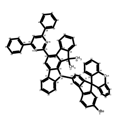 CC(C)(C)c1ccc2c(c1)C1(c3ccccc3Oc3ccccc31)c1ccc(-n3c4ccccc4c4cc(-c5nc(-c6ccccc6)cc(-c6ccccc6)n5)c5c(c43)C(C)(C)c3ccccc3-5)cc1-2